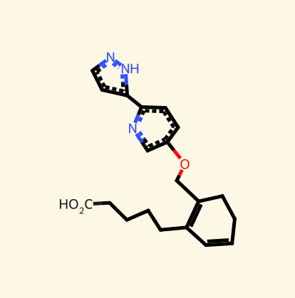 O=C(O)CCCCC1=C(COc2ccc(-c3ccn[nH]3)nc2)CCC=C1